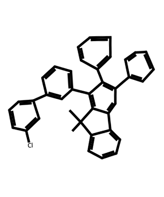 CC1(C)c2ccccc2-c2cc(-c3ccccc3)c(-c3ccccc3)c(-c3cccc(-c4cccc(Cl)c4)c3)c21